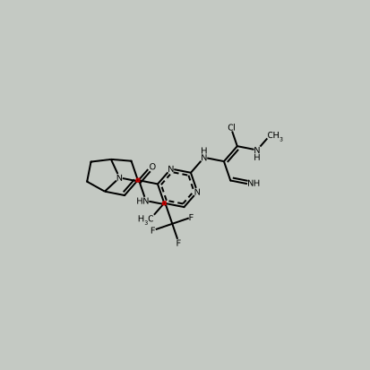 CN/C(Cl)=C(\C=N)Nc1ncc(C)c(C2=CC3CCC(C2)N3C(=O)NCC(F)(F)F)n1